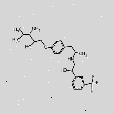 CC(Cc1ccc(OCC(O)C(N)C(C)C)cc1)NCC(O)c1cccc(C(F)(F)F)c1